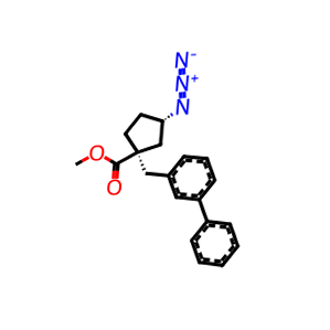 COC(=O)[C@@]1(Cc2cccc(-c3ccccc3)c2)CC[C@H](N=[N+]=[N-])C1